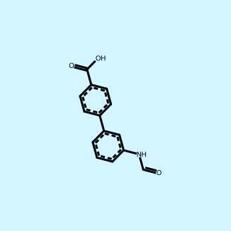 O=CNc1cccc(-c2ccc(C(=O)O)cc2)c1